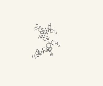 CNc1nc(NC2CCN(Cc3ccc4c(cc(C#N)n4C[C@H](C)N4CCN(C)S(=O)(=O)C4)c3C)CC2)c2cc(CC(F)(F)F)sc2n1